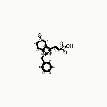 O=S(=O)(O)/C=C/c1nn(Cc2ccccc2)c2c1C[S+]([O-])CC2